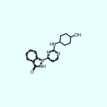 O=c1[nH]n(-c2ccnc(NC3CCC(O)CC3)n2)c2ccccc12